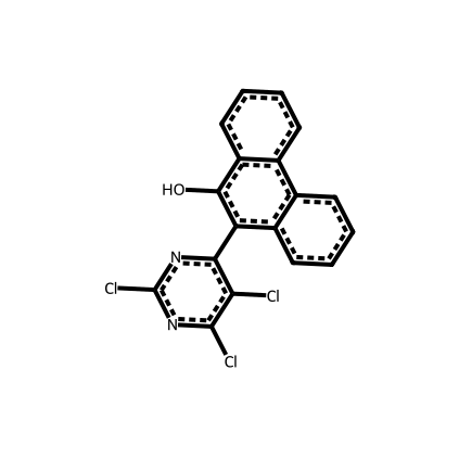 Oc1c(-c2nc(Cl)nc(Cl)c2Cl)c2ccccc2c2ccccc12